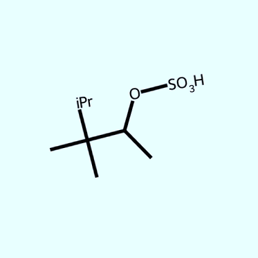 CC(C)C(C)(C)C(C)OS(=O)(=O)O